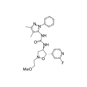 COCCN1C[C@@H](NC(=O)Nc2c(C)c(C)nn2-c2ccccc2)[C@H](c2ccnc(F)c2)O1